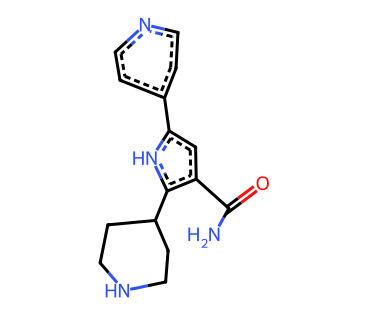 NC(=O)c1cc(-c2ccncc2)[nH]c1C1CCNCC1